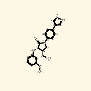 COc1cccc(N[C@@H]2C(=O)N(c3ccc(-c4cn[nH]c4)cc3)C[C@H]2CO)c1